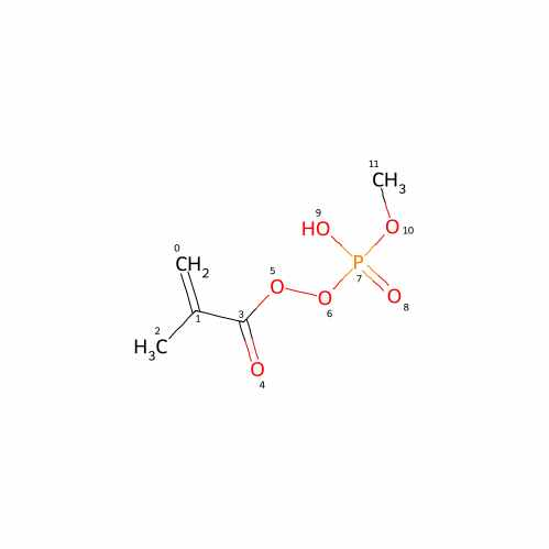 C=C(C)C(=O)OOP(=O)(O)OC